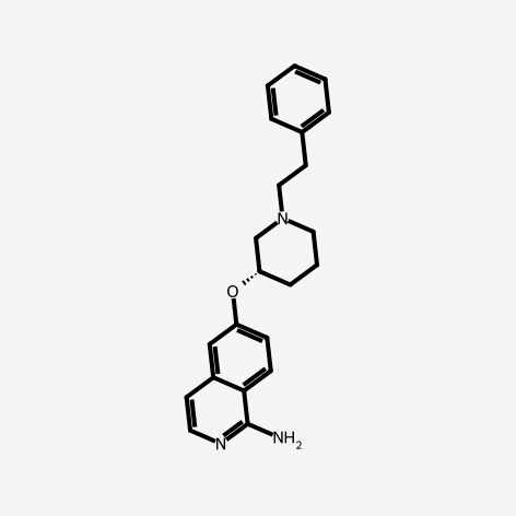 Nc1nccc2cc(O[C@H]3CCCN(CCc4ccccc4)C3)ccc12